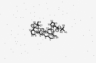 CCCCN(CC(=O)N1CCCC1C(=O)OC(C)(C)C)C(=O)N(CCCC)CC(=O)N1CCCC1C(=O)OC(C)(C)C